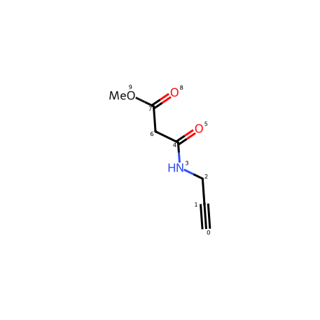 C#CCNC(=O)CC(=O)OC